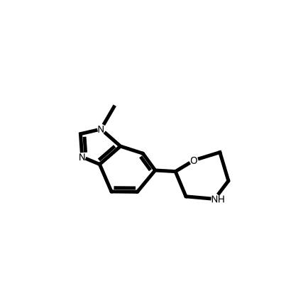 Cn1cnc2ccc(C3CNCCO3)cc21